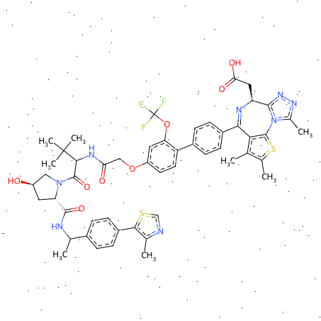 Cc1ncsc1-c1ccc(C(C)NC(=O)[C@@H]2C[C@@H](O)CN2C(=O)C(NC(=O)COc2ccc(-c3ccc(C4=N[C@@H](CC(=O)O)c5nnc(C)n5-c5sc(C)c(C)c54)cc3)c(OC(F)(F)F)c2)C(C)(C)C)cc1